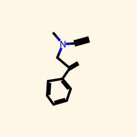 C#CN(C)CC(=C)c1ccccc1